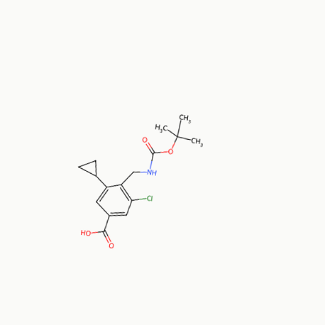 CC(C)(C)OC(=O)NCc1c(Cl)cc(C(=O)O)cc1C1CC1